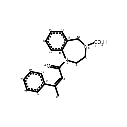 C/C(=C/C(=O)N1CCN(C(=O)O)Cc2ccccc21)c1ccccc1